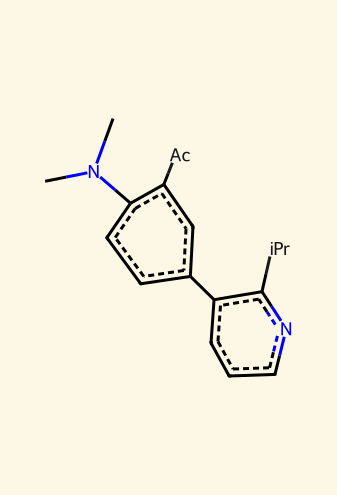 CC(=O)c1cc(-c2cccnc2C(C)C)ccc1N(C)C